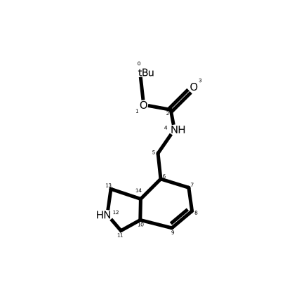 CC(C)(C)OC(=O)NCC1CC=CC2CNCC21